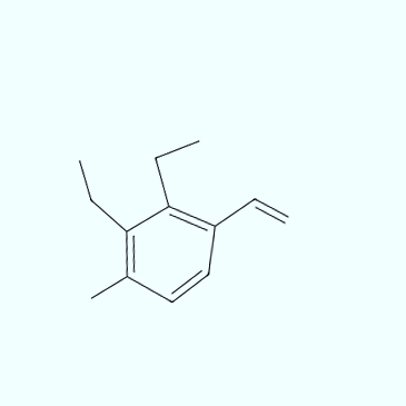 C=Cc1ccc(C)c(CC)c1CC